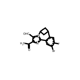 NC(=O)c1nc2n(c1C=O)C1CC(C1)c1cc(F)c(Br)cc1-2